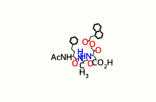 CC(=O)NC(CCc1ccccc1)C(=O)NC(C)C(=O)NC(CC(=O)O)C(=O)COC(=O)Cc1cccc2ccccc12